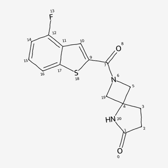 O=C1CCC2(CN(C(=O)c3cc4c(F)cccc4s3)C2)N1